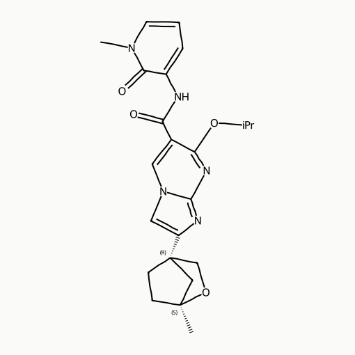 CC(C)Oc1nc2nc([C@@]34CC[C@@](C)(C3)OC4)cn2cc1C(=O)Nc1cccn(C)c1=O